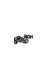 Cn1cccc1C(=CCCN1CCC=C(C(=O)O)C1)c1sccc1Br